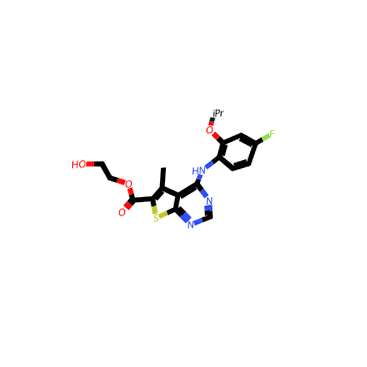 Cc1c(C(=O)OCCO)sc2ncnc(Nc3ccc(F)cc3OC(C)C)c12